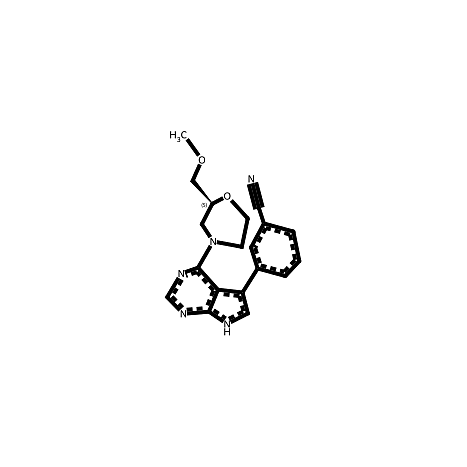 COC[C@@H]1CN(c2ncnc3[nH]cc(-c4cccc(C#N)c4)c23)CCO1